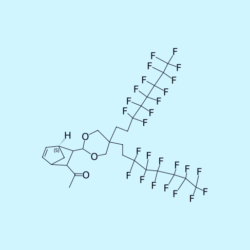 CC(=O)C1C2C=C[C@H](C2)C1C1OCC(CCC(F)(F)C(F)(F)C(F)(F)C(F)(F)C(F)(F)C(F)(F)F)(CCC(F)(F)C(F)(F)C(F)(F)C(F)(F)C(F)(F)C(F)(F)F)CO1